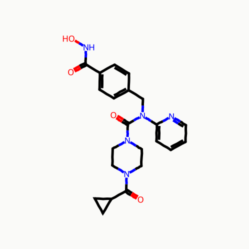 O=C(NO)c1ccc(CN(C(=O)N2CCN(C(=O)C3CC3)CC2)c2ccccn2)cc1